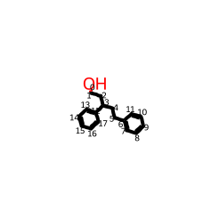 OCCC(CCc1ccccc1)c1ccccc1